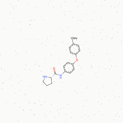 COc1ccc(Oc2ccc(NC(=O)[C@@H]3CCCN3)cc2)cc1